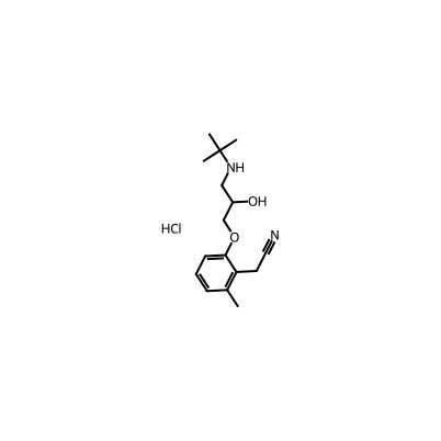 Cc1cccc(OCC(O)CNC(C)(C)C)c1CC#N.Cl